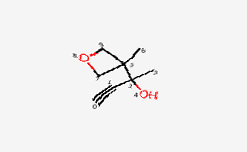 C#CC(C)(O)C1(C)COC1